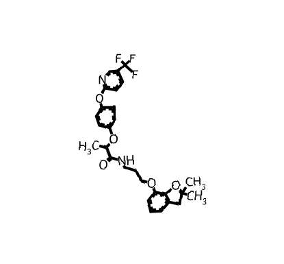 CC(Oc1ccc(Oc2ccc(C(F)(F)F)cn2)cc1)C(=O)NCCCOc1cccc2c1OC(C)(C)C2